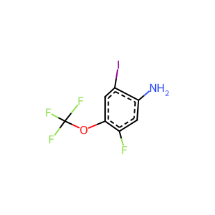 Nc1cc(F)c(OC(F)(F)F)cc1I